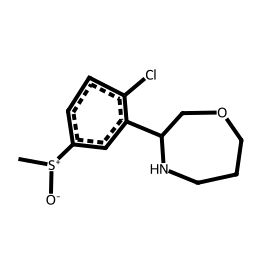 C[S+]([O-])c1ccc(Cl)c(C2COCCCN2)c1